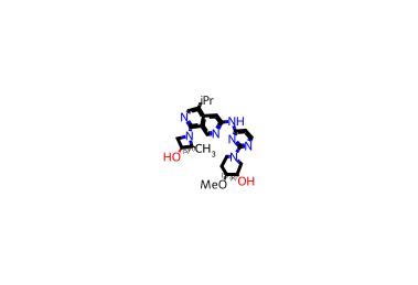 CO[C@H]1CCN(c2nccc(Nc3cc4c(C(C)C)cnc(N5C[C@H](O)[C@H]5C)c4cn3)n2)C[C@H]1O